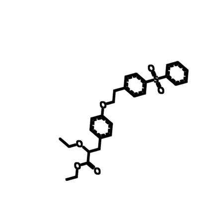 CCOC(=O)C(Cc1ccc(OCCc2ccc(S(=O)(=O)c3ccccc3)cc2)cc1)OCC